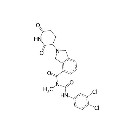 CN(C(=O)Nc1ccc(Cl)c(Cl)c1)C(=O)c1cccc2c1CN(C1CCC(=O)NC1=O)C2